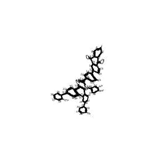 O=C1c2ccccc2C(=O)c2cc(-c3ccc(-c4nc5c6ccc(-c7ccccc7)cc6c6cc(-c7ccccc7)ccc6c5n4-c4ccccc4)cc3)ccc21